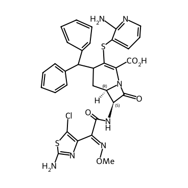 CON=C(C(=O)N[C@@H]1C(=O)N2C(C(=O)O)=C(Sc3cccnc3N)C(C(c3ccccc3)c3ccccc3)C[C@H]12)c1nc(N)sc1Cl